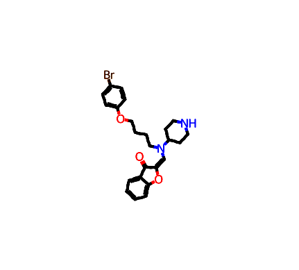 O=C1C(=CN(CCCCOc2ccc(Br)cc2)C2CCNCC2)Oc2ccccc21